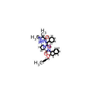 CC#CCO[C@@H]1Cc2ccccc2C1NC(=O)[C@@H]1CCCN1C(=O)C(NC(=O)[C@H](C)NC)C1CCCCC1